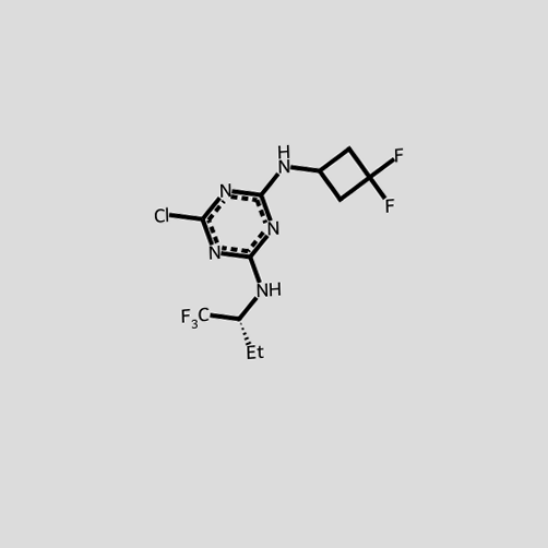 CC[C@@H](Nc1nc(Cl)nc(NC2CC(F)(F)C2)n1)C(F)(F)F